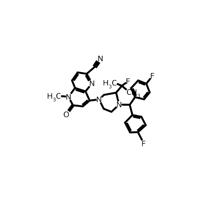 Cn1c(=O)cc(N2CCN(C(c3ccc(F)cc3)c3ccc(F)cc3)C(C(C)(C)F)C2)c2nc(C#N)ccc21